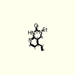 C=Cc1ccnc2c1CN(CC)C(=O)N2